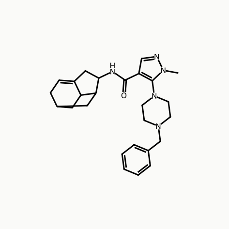 Cn1ncc(C(=O)NC2CC3=CCC4CC3C2C4)c1N1CCN(Cc2ccccc2)CC1